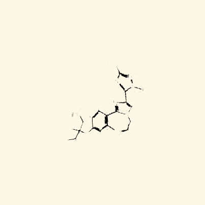 Cc1nc(-c2cn3c(n2)-c2ccc(OC(O)(CO)CC(C)C)cc2OCC3)n(C(C)C)n1